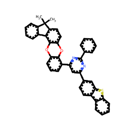 CC1(C)c2ccccc2-c2c1ccc1c2Oc2cccc(-c3cc(-c4ccc5c(c4)sc4ccccc45)nc(-c4ccccc4)n3)c2O1